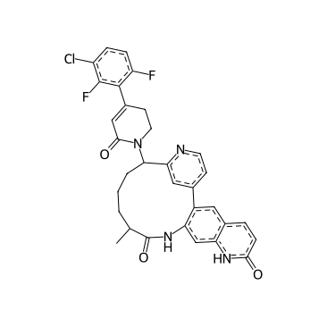 CC1CCCC(N2CCC(c3c(F)ccc(Cl)c3F)=CC2=O)c2cc(ccn2)-c2cc3ccc(=O)[nH]c3cc2NC1=O